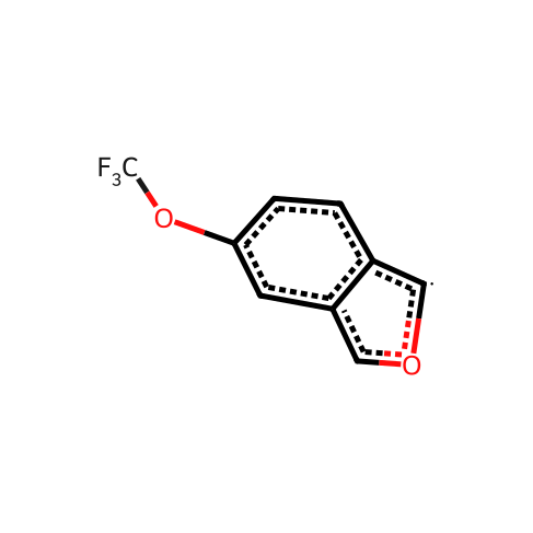 FC(F)(F)Oc1ccc2[c]occ2c1